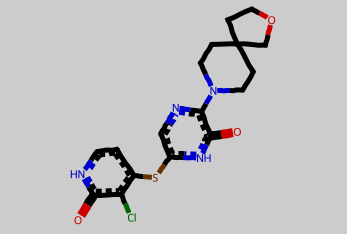 O=c1[nH]c(Sc2cc[nH]c(=O)c2Cl)cnc1N1CCC2(CCOC2)CC1